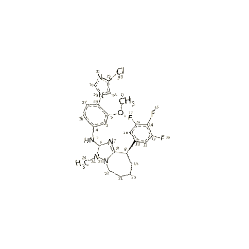 COc1cc(NC2N=C3[C@@H](c4cc(F)c(F)c(F)c4)CCCCN3N2C)ccc1-n1cnc(Cl)c1